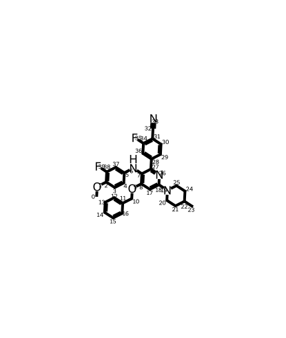 COc1ccc(Nc2c(OCc3ccccc3)cc(N3CCC(C)CC3)nc2-c2ccc(C#N)c(F)c2)cc1F